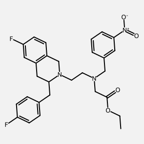 CCOC(=O)CN(CCN1Cc2ccc(F)cc2CC1Cc1ccc(F)cc1)Cc1cccc([N+](=O)[O-])c1